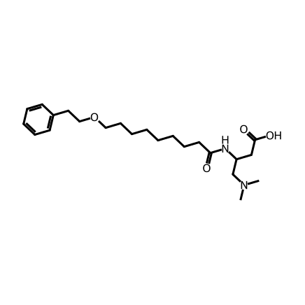 CN(C)CC(CC(=O)O)NC(=O)CCCCCCCCOCCc1ccccc1